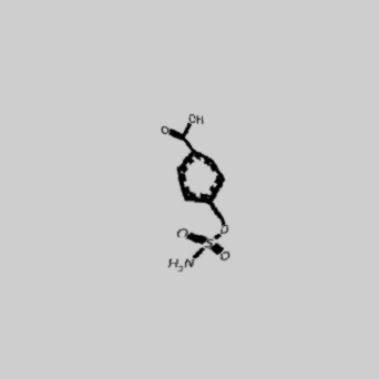 NS(=O)(=O)Oc1ccc(C(=O)O)cc1